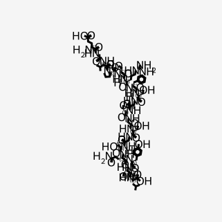 CC(C)C[C@H](NC(=O)[C@H](CO)NC(=O)[C@H](Cc1ccc(O)cc1)NC(=O)[C@H](CCC(N)=O)NC(=O)[C@@H](NC(=O)CNC(=O)[C@H](CO)NC(=O)CNC(=O)[C@H](CO)NC(=O)CNC(=O)[C@H](CO)NC(=O)[C@H](Cc1ccccc1)NC(=O)[C@H](CCCNC(=N)N)NC(=O)[C@H](CO)NC(=O)[C@@H]1CCCN1C(=O)[C@@H](NC(=O)CNC(=O)[C@@H](N)CCC(=O)O)C(C)C)[C@@H](C)O)C(=O)O